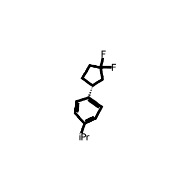 CC(C)c1ccc([C@@H]2CCC(F)(F)C2)cc1